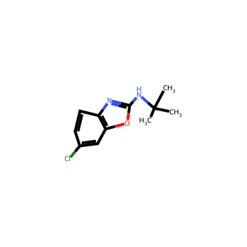 CC(C)(C)Nc1nc2ccc(Cl)cc2o1